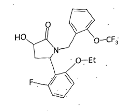 CCOc1cccc(F)c1C1CC(O)C(=O)N1Cc1ccccc1OC(F)(F)F